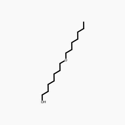 CCCCCCCOCCCCCCCO